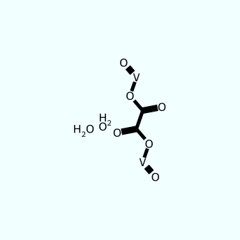 O.O.[O]=[V][O]C(=O)C(=O)[O][V]=[O]